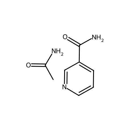 CC(N)=O.NC(=O)c1cccnc1